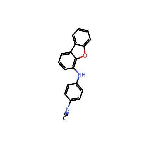 [C-]#[N+]c1ccc(Nc2cccc3c2oc2ccccc23)cc1